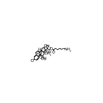 C[C@@H]1C[C@H]2[C@@H]3CCC4=CC(=O)C=C[C@]4(C)[C@@]3(F)[C@@H](O)C[C@]2(C)[C@@]1(O)C(=O)COC(=O)CCCCCN